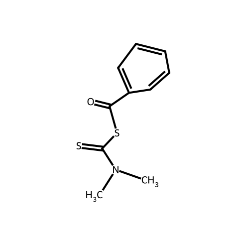 CN(C)C(=S)SC(=O)c1ccccc1